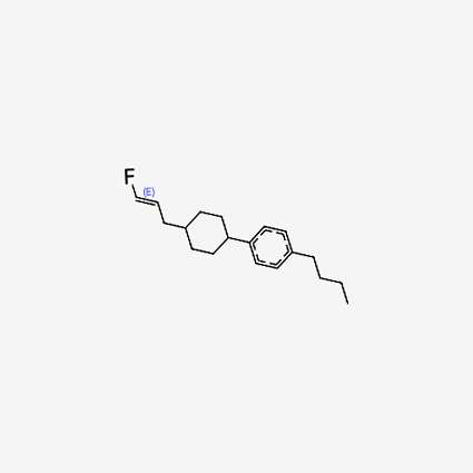 CCCCc1ccc(C2CCC(C/C=C/F)CC2)cc1